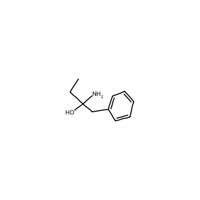 CCC(N)(O)Cc1ccccc1